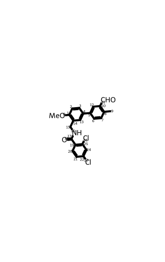 COc1ccc(-c2ccc(C)c(C=O)c2)cc1CNC(=O)c1ccc(Cl)cc1Cl